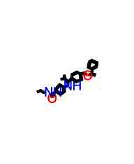 C=C(OCc1ccc(C(Nc2ccc(C(=O)NCCC)cc2)C(C)C)cc1)c1ccccc1